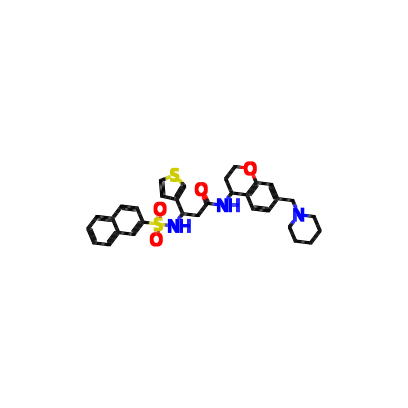 O=C(CC(NS(=O)(=O)c1ccc2ccccc2c1)c1ccsc1)NC1CCOc2cc(CN3CCCCC3)ccc21